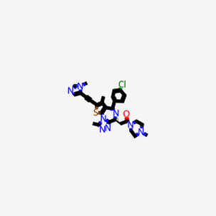 Cc1c(C#Cc2cncn2C)sc2c1C(c1ccc(Cl)cc1)=N[C@@H](CC(=O)N1CCN(C)CC1)c1nnc(C)n1-2